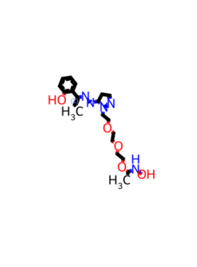 C/C=C(\N=NC1CC=NN1CCOCCOCCOC(C)NO)c1ccccc1O